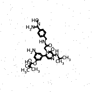 CC(C)Nc1ncc(-c2cc(N)cc(OC(=O)C(C)(C)C)c2)n(CC(=O)NCc2ccc(/C(N)=N/O)cc2)c1=O